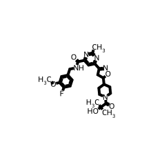 COc1cc(CNC(=O)c2cc(C3=NOC(C4CCN(C(=O)C(C)(C)O)CC4)C3)nc(C)n2)ccc1F